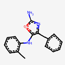 Cc1ccccc1Nc1oc(N)nc1-c1ccccc1